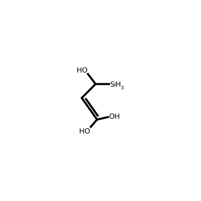 OC(O)=CC(O)[SiH3]